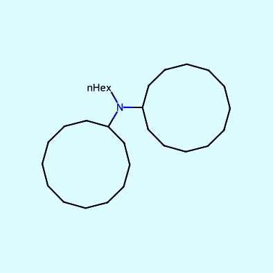 CCCCCCN(C1CCCCCCCCCCC1)C1CCCCCCCCCCC1